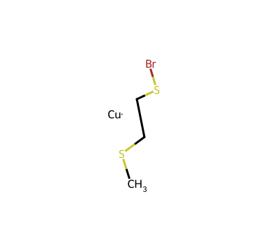 CSCCSBr.[Cu]